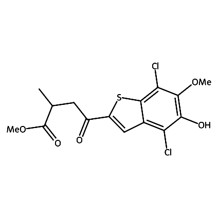 COC(=O)C(C)CC(=O)c1cc2c(Cl)c(O)c(OC)c(Cl)c2s1